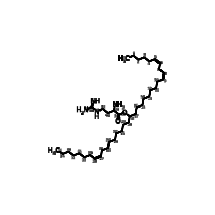 CCCCC/C=C\C/C=C\CCCCCCCCC(CCCCCCCC/C=C\CCCCCCC)OC(=O)C(N)CCNC(=N)N